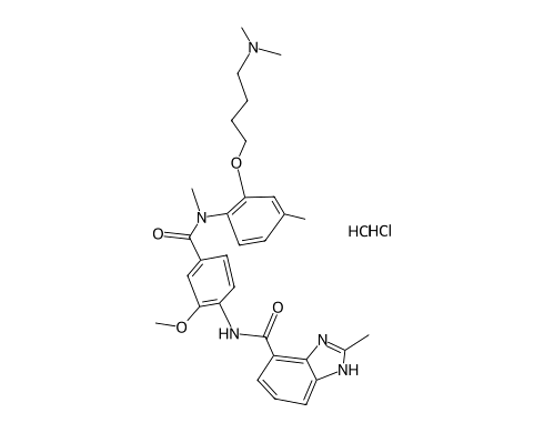 COc1cc(C(=O)N(C)c2ccc(C)cc2OCCCCN(C)C)ccc1NC(=O)c1cccc2[nH]c(C)nc12.Cl.Cl